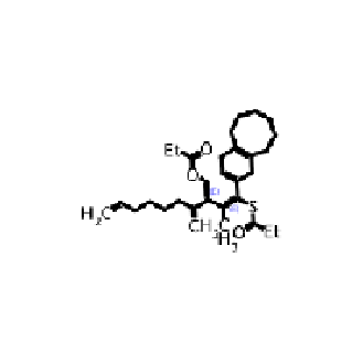 C=CCCCCC(=C)C(=C\OC(=O)CC)/C(C)=C(/SC(=O)CC)C1=CCC2=C(CCCCCC2)C1